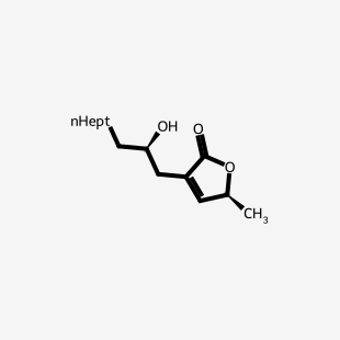 CCCCCCCC[C@@H](O)CC1=C[C@H](C)OC1=O